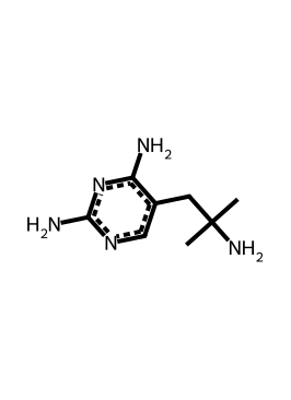 CC(C)(N)Cc1cnc(N)nc1N